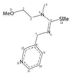 COCCN(C)C(=NCc1cccnc1)SC